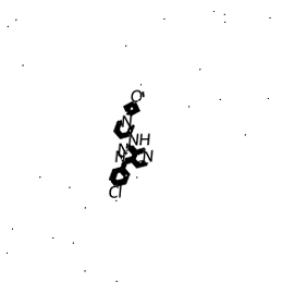 COC1CC(N2CCCC(Nc3nnc(-c4ccc(Cl)cc4)c4ccncc34)C2)C1